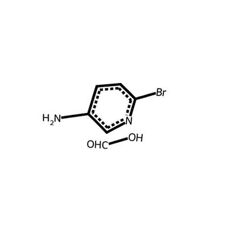 Nc1ccc(Br)nc1.O=CO